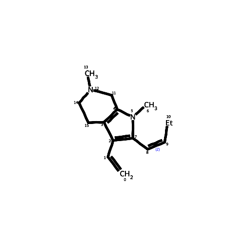 C=Cc1c2c(n(C)c1/C=C\CC)CN(C)CC2